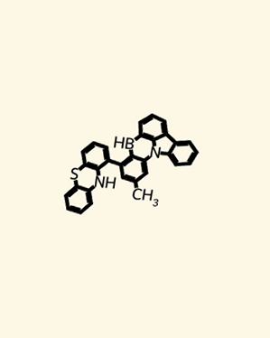 Cc1cc(-c2cccc3c2Nc2ccccc2S3)c2c(c1)-n1c3ccccc3c3cccc(c31)B2